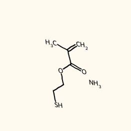 C=C(C)C(=O)OCCS.N